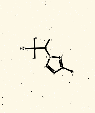 CC(n1ccc(Br)n1)C(C)(C)O